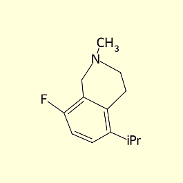 CC(C)c1ccc(F)c2c1CCN(C)C2